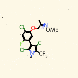 CO/N=C(/C)COc1cc(-c2c(Cl)c(C(F)(F)F)n(C)c2Cl)c(F)cc1Cl